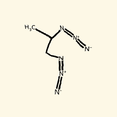 CC(CN=[N+]=[N-])N=[N+]=[N-]